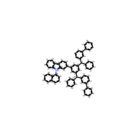 c1ccc(-c2cccc(C(c3ccccc3)c3cc(-c4ccc5c6ccccc6n(-c6cccc7ccccc67)c5c4)cc(C(c4ccccc4)c4cccc(-c5ccccc5)c4)c3)c2)cc1